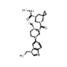 CCn1cnc2ccc(N3CCN(C(=O)[C@@H]4[C@@H](C(=O)NO)CC5(CC5)CN4C(=O)O)CC3)cc21